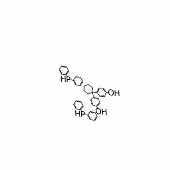 Oc1ccc(C2(c3ccc(O)cc3)CCCCC2)cc1.c1ccc(Pc2ccccc2)cc1.c1ccc(Pc2ccccc2)cc1